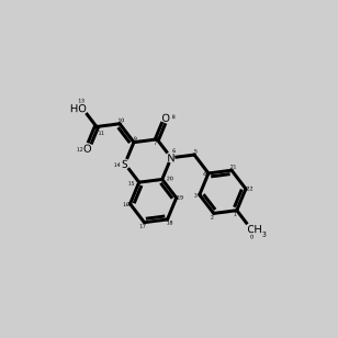 Cc1ccc(CN2C(=O)/C(=C/C(=O)O)Sc3ccccc32)cc1